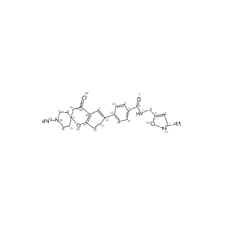 CCc1cc(CNC(=O)c2ccc(-c3ccc4c(c3)C(=O)CC3(CCN(C(C)C)CC3)O4)cc2)on1